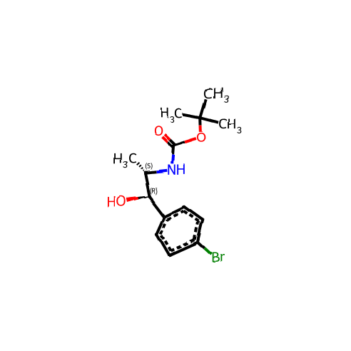 C[C@H](NC(=O)OC(C)(C)C)[C@H](O)c1ccc(Br)cc1